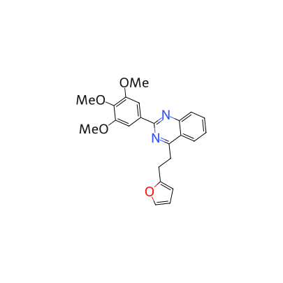 COc1cc(-c2nc(CCc3ccco3)c3ccccc3n2)cc(OC)c1OC